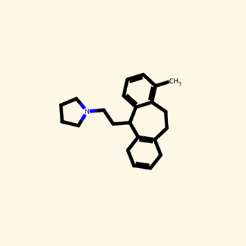 Cc1cccc2c1CCC1=C(CC=CC1)C2CCN1CCCC1